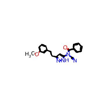 COc1cccc(CCc2cc(N(C#N)C(=O)c3ccccc3)[nH]n2)c1